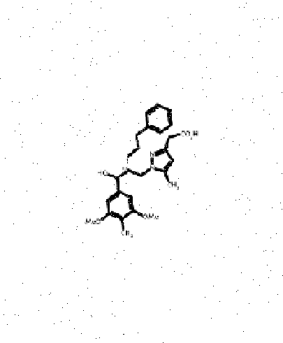 COc1cc(C(O)[C@H](CCCc2ccccc2)Cn2nc(CC(=O)O)cc2C)cc(OC)c1C